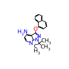 CC(C)(C)n1nc(Oc2cccc3ccccc23)c2c(N)ccnc21